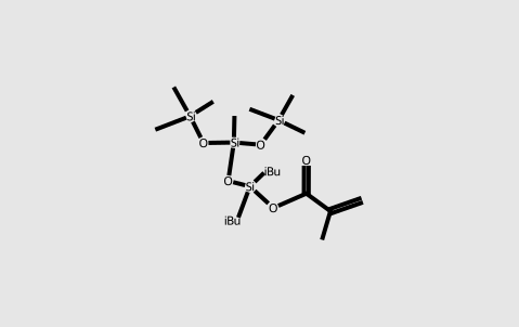 C=C(C)C(=O)O[Si](O[Si](C)(O[Si](C)(C)C)O[Si](C)(C)C)(C(C)CC)C(C)CC